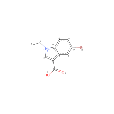 CCn1cc(C(=O)O)c2cc(Br)ccc21